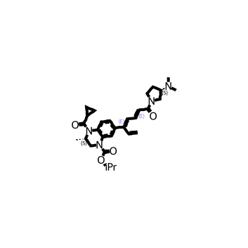 C=C/C(=C\C=C\C(=O)N1CC[C@H](N(C)C)C1)c1ccc2c(c1)N(C(=O)OC(C)C)C[C@H](C)N2C(=O)C1CC1